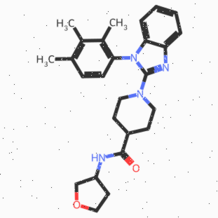 Cc1ccc(-n2c(N3CCC(C(=O)NC4CCOC4)CC3)nc3ccccc32)c(C)c1C